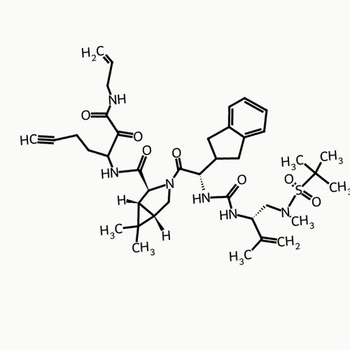 C#CCCC(NC(=O)[C@@H]1[C@@H]2[C@H](CN1C(=O)[C@@H](NC(=O)N[C@H](CN(C)S(=O)(=O)C(C)(C)C)C(=C)C)C1Cc3ccccc3C1)C2(C)C)C(=O)C(=O)NCC=C